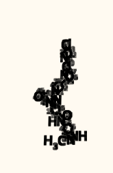 Cc1n[nH]c2ccc(NC(=O)c3ccc4c(c3)nc(CN3CC=C(c5cccc(OCc6ccc(Cl)cn6)n5)CC3)n4C[C@@H]3CCO3)cc12